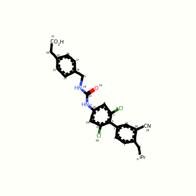 CC(C)Cc1ccc(-c2c(Cl)cc(NC(=O)NCc3ccc(CC(=O)O)cc3)cc2Cl)cc1C#N